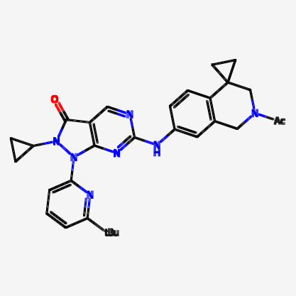 CC(=O)N1Cc2cc(Nc3ncc4c(=O)n(C5CC5)n(-c5cccc(C(C)(C)C)n5)c4n3)ccc2C2(CC2)C1